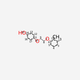 Cc1ccccc1OCCOc1ccc(O)cc1